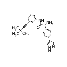 CC(C)(C)C#Cc1cccc(NC(=O)C(N)c2ccc(-c3cn[nH]c3)cc2)c1